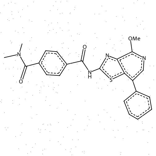 COc1ncc(-c2ccccc2)c2sc(NC(=O)c3ccc(C(=O)N(C)C)cc3)nc12